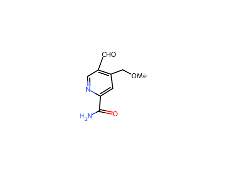 COCc1cc(C(N)=O)ncc1C=O